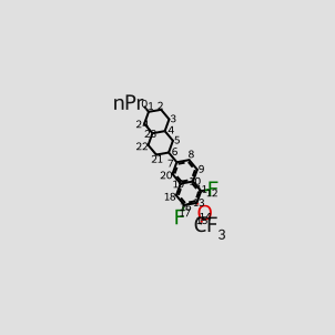 CCCC1CCC2CC(c3ccc4c(F)c(OC(F)(F)F)c(F)cc4c3)CCC2C1